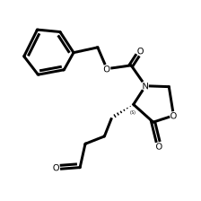 O=CCCC[C@H]1C(=O)OCN1C(=O)OCc1ccccc1